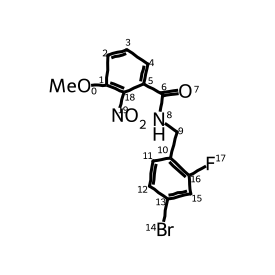 COc1cccc(C(=O)NCc2ccc(Br)cc2F)c1[N+](=O)[O-]